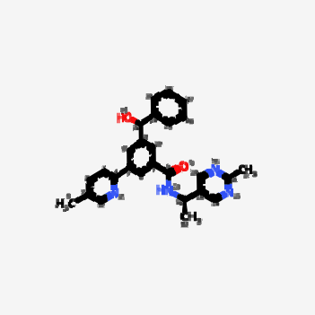 Cc1ccc(-c2cc(C(=O)N[C@H](C)c3cnc(C)nc3)cc(C(O)c3ccccc3)c2)nc1